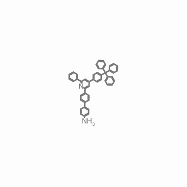 Nc1ccc(-c2ccc(-c3cc(-c4ccc(C(c5ccccc5)(c5ccccc5)c5ccccc5)cc4)cc(-c4ccccc4)n3)cc2)cc1